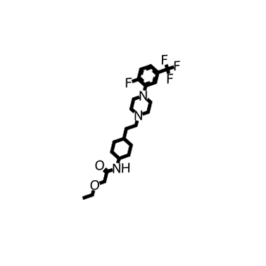 CCOCC(=O)NC1CCC(CCN2CCN(c3cc(C(F)(F)F)ccc3F)CC2)CC1